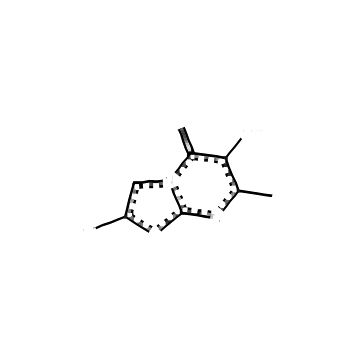 Cc1nc2sc(Cl)cn2c(=O)c1O